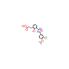 COc1c(CCC(=O)O)cccc1-c1noc(-c2ccc(OC(C)C)c(Cl)c2)n1